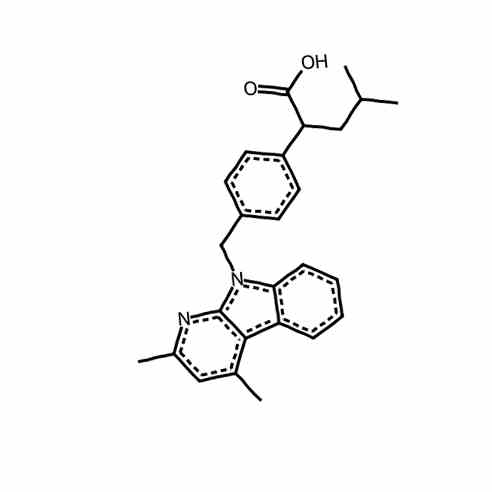 Cc1cc(C)c2c3ccccc3n(Cc3ccc(C(CC(C)C)C(=O)O)cc3)c2n1